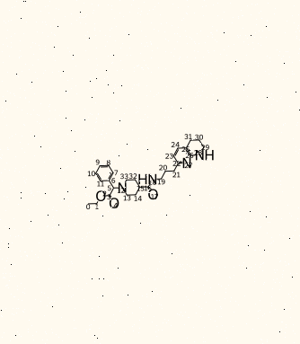 CCOC(=O)C(c1ccccc1)N1CCC(C(=O)NCCCc2ccc3c(n2)NCCC3)CC1